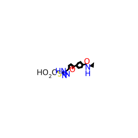 O=C(O)CSc1nnc(-c2ccc(-c3ccc(C(=O)NC4CC4)cc3)o2)[nH]1